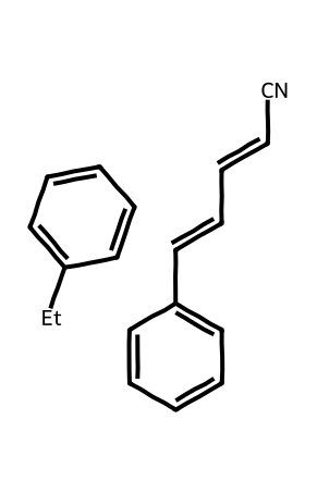 CCc1ccccc1.N#CC=CC=Cc1ccccc1